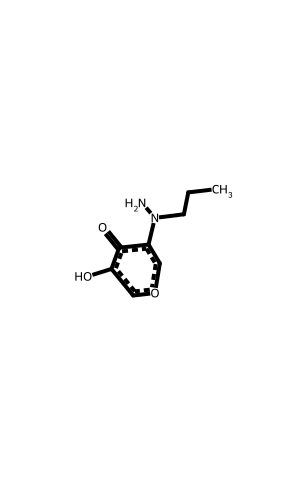 CCCN(N)c1cocc(O)c1=O